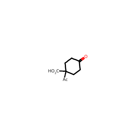 CC(=O)C1(C(=O)O)CCC(=O)CC1